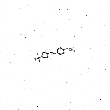 CCc1ccc(/C=C/c2ccc(C(F)(F)F)cc2)cc1